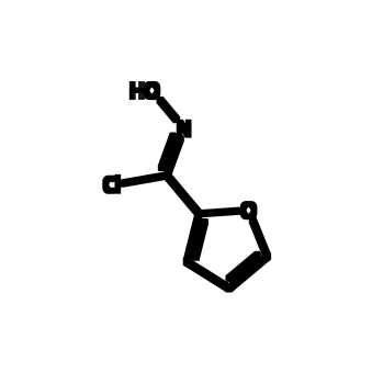 ON=C(Cl)c1ccco1